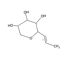 C/C=C/C1OCC(O)C(O)C1O